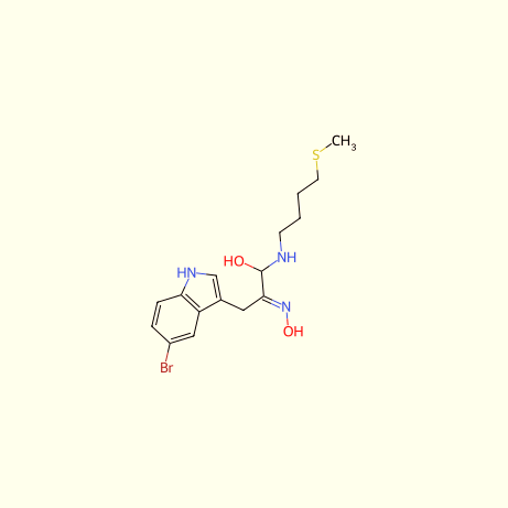 CSCCCCNC(O)/C(Cc1c[nH]c2ccc(Br)cc12)=N/O